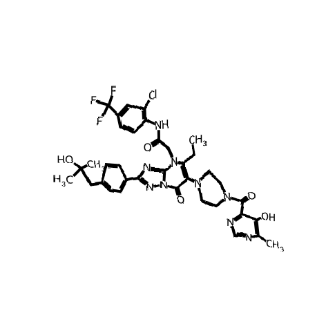 CCc1c(N2CCN(C(=O)c3ncnc(C)c3O)CC2)c(=O)n2nc(-c3ccc(CC(C)(C)O)cc3)nc2n1CC(=O)Nc1ccc(C(F)(F)F)cc1Cl